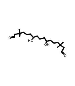 CC(C)(CC=O)CCCC(O)CCCC(O)CCCC(C)(C)CC=O